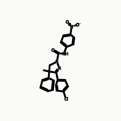 CC1(c2ccccc2)CN(C(=O)Nc2ccc([N+](=O)[O-])cc2)N=C1c1ccc(Cl)cc1